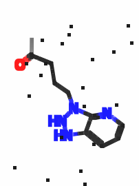 CC(=O)CCCN1NNc2cccnc21